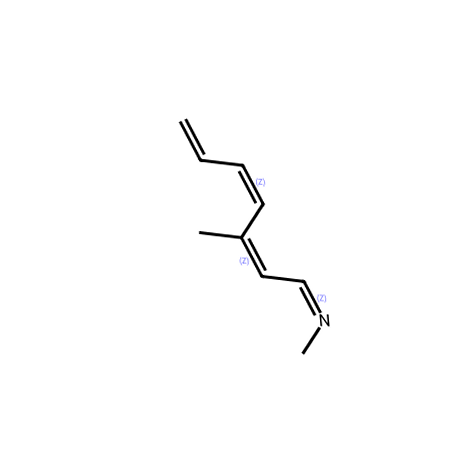 C=C\C=C/C(C)=C\C=N/C